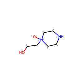 [O-][N+]1(CCO)CCNCC1